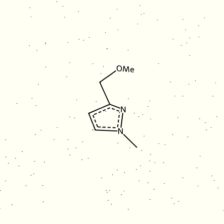 COCc1c[c]n(C)n1